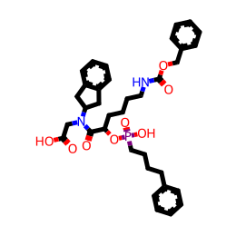 O=C(O)CN(C(=O)C(CCCCNC(=O)OCc1ccccc1)OP(=O)(O)CCCCc1ccccc1)C1Cc2ccccc2C1